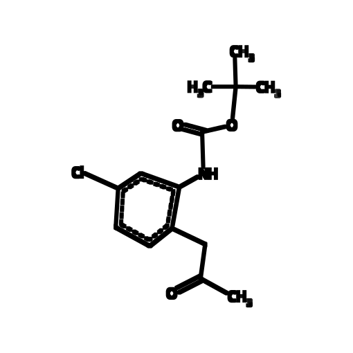 CC(=O)Cc1ccc(Cl)cc1NC(=O)OC(C)(C)C